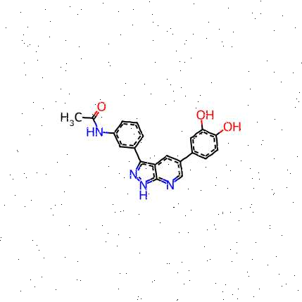 CC(=O)Nc1cccc(-c2n[nH]c3ncc(-c4ccc(O)c(O)c4)cc23)c1